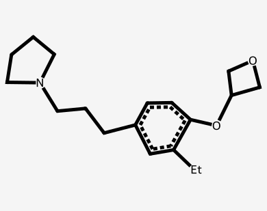 CCc1cc(CCCN2CCCC2)ccc1OC1COC1